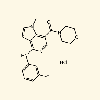 Cl.Cn1ccc2c(Nc3cccc(F)c3)ncc(C(=O)N3CCOCC3)c21